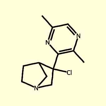 Cc1cnc(C)c(C2(Cl)CN3CCC2C3)n1